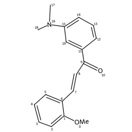 COc1ccccc1C=CC(=O)c1cccc(N(C)C)c1